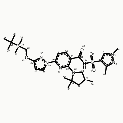 Cc1nn(C)cc1S(=O)(=O)NC(=O)c1ccc(-n2ccc(OCS(C)(C)C(C)(C)C)n2)nc1N1C[C@@H](C)CC1(C)C